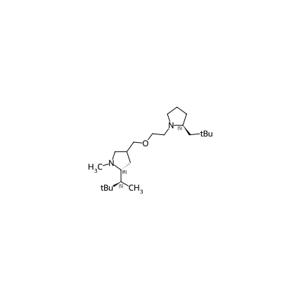 C[C@H]([C@H]1CC(COCCN2CCC[C@H]2CC(C)(C)C)CN1C)C(C)(C)C